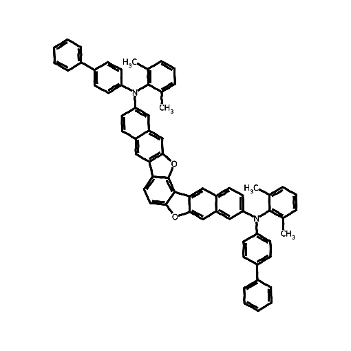 Cc1cccc(C)c1N(c1ccc(-c2ccccc2)cc1)c1ccc2cc3c(cc2c1)oc1c3ccc2oc3cc4cc(N(c5ccc(-c6ccccc6)cc5)c5c(C)cccc5C)ccc4cc3c21